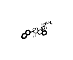 NNC(=O)CNC(=O)C(Cc1ccccc1)NC(=O)c1ccc2ccccc2c1